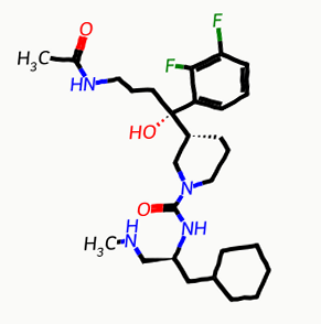 CNC[C@H](CC1CCCCC1)NC(=O)N1CCC[C@@H]([C@@](O)(CCCNC(C)=O)c2cccc(F)c2F)C1